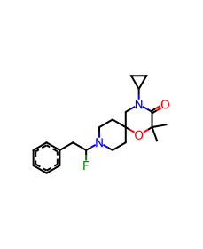 CC1(C)OC2(CCN(C(F)Cc3ccccc3)CC2)CN(C2CC2)C1=O